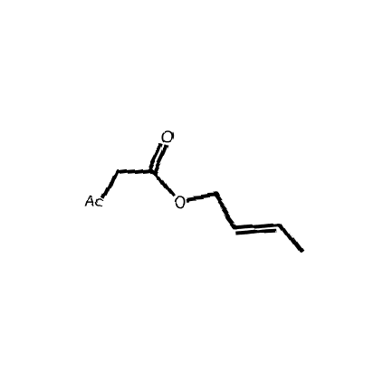 CC=CCOC(=O)CC(C)=O